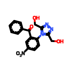 O=C(c1ccccc1)c1cc([N+](=O)[O-])ccc1-n1c(CO)nnc1CO